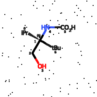 CC(C)[C@](CO)(NC(=O)O)C(C)(C)C